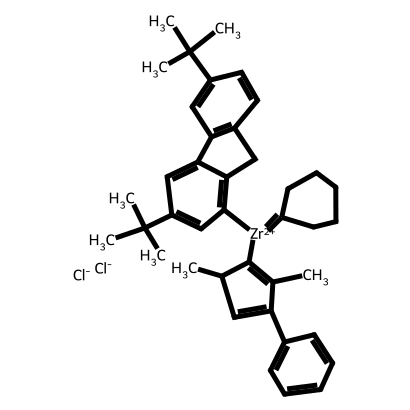 CC1=[C]([Zr+2](=[C]2CCCCC2)[c]2cc(C(C)(C)C)cc3c2Cc2ccc(C(C)(C)C)cc2-3)C(C)C=C1c1ccccc1.[Cl-].[Cl-]